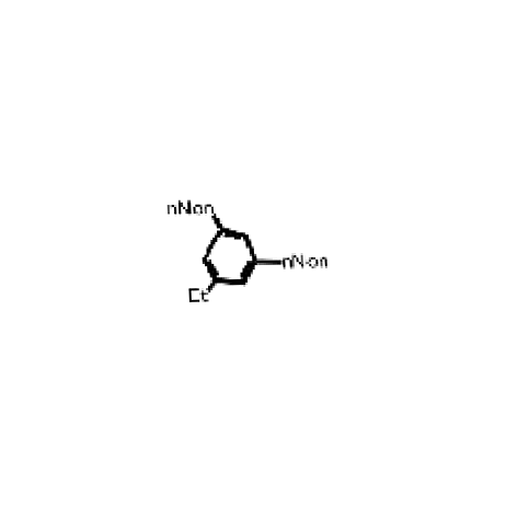 CCCCCCCCCc1cc(CC)cc(CCCCCCCCC)c1